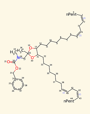 CCCCC/C=C\C/C=C\CCCCCCCC1OC(C)(CN(C)C(=O)OCc2ccccc2)OC1CCCCCCC/C=C\C/C=C\CCCCC